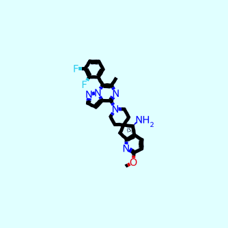 COc1ccc2c(n1)CC1(CCN(c3nc(C)c(-c4cccc(F)c4F)n4nccc34)CC1)[C@@H]2N